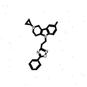 Cc1ccc2c(c1)c1c(n2CCc2noc(-c3ccccc3)n2)CCN(C2CC2)C1